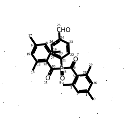 Cc1cc(C)c(C(=O)P(=O)(C(=O)c2c(C)cc(C)cc2C)c2ccc(C=O)cc2)c(C)c1